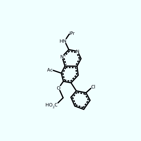 CC(=O)c1c(OCC(=O)O)c(-c2ccccc2Cl)cc2cnc(NC(C)C)nc12